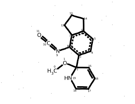 COC1(c2ccc3c(c2N=C=O)CCC3)C=CC=CN1